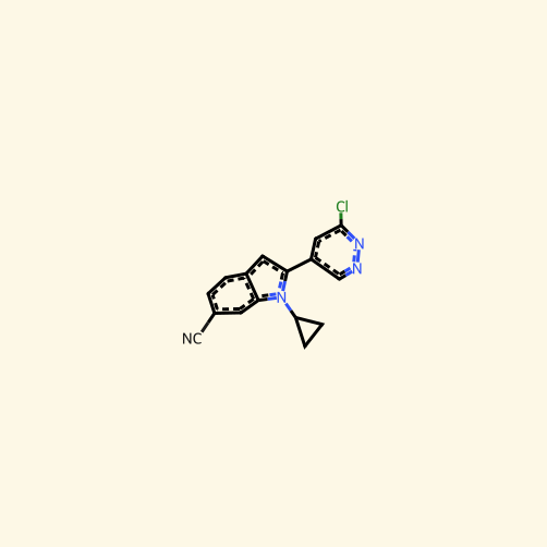 N#Cc1ccc2cc(-c3cnnc(Cl)c3)n(C3CC3)c2c1